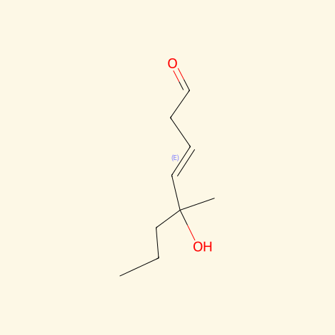 CCCC(C)(O)/C=C/CC=O